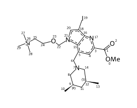 COC(=O)c1cc(CN2C[C@H](C)C[C@H](C)C2)c2c(n1)c(I)cn2COCC[Si](C)(C)C